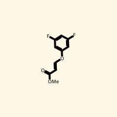 COC(=O)/C=C/Oc1cc(F)cc(F)c1